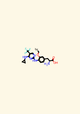 [2H]COc1cc(C[C@H](N)C(=O)O)ccc1Nc1ncc(C(F)(F)F)c(NC2CC2)n1